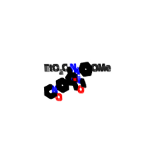 CCOC(=O)C1=NN(c2ccc(OC)cc2)C23CN(c4ccc(N5CCCCC5=O)cc4)C4(CCC12)COCCN43